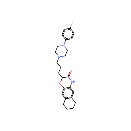 O=C1Nc2cc3c(cc2OC1CCCN1CCN(c2ccc(F)cc2)CC1)CCCC3